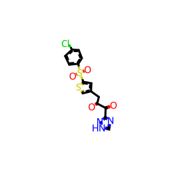 O=C(Cc1csc(S(=O)(=O)c2ccc(Cl)cc2)c1)C(=O)c1nc[nH]n1